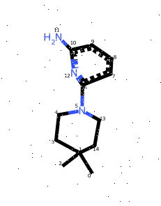 CC1(C)CCN(c2cccc(N)n2)CC1